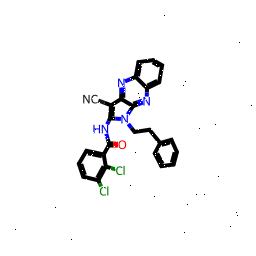 N#Cc1c(NC(=O)c2cccc(Cl)c2Cl)n(CCc2ccccc2)c2nc3ccccc3nc12